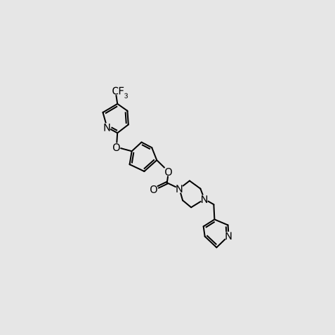 O=C(Oc1ccc(Oc2ccc(C(F)(F)F)cn2)cc1)N1CCN(Cc2cccnc2)CC1